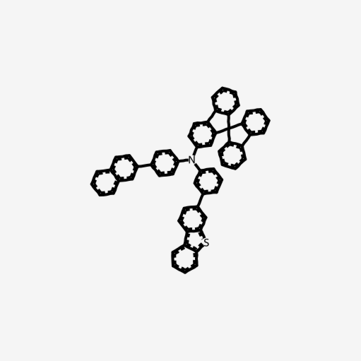 c1cc(-c2ccc3c(c2)sc2ccccc23)cc(N(c2ccc(-c3ccc4ccccc4c3)cc2)c2ccc3c(c2)C2(c4ccccc4-c4ccccc42)c2ccccc2-3)c1